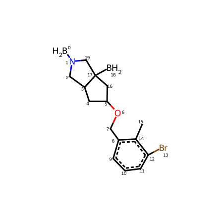 BN1CC2CC(OCc3cccc(Br)c3C)CC2(B)C1